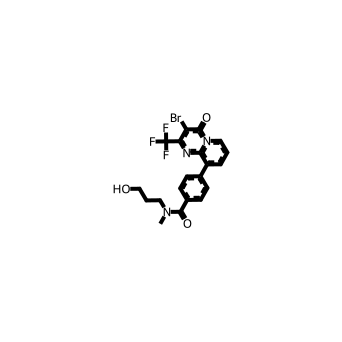 CN(CCCO)C(=O)c1ccc(-c2cccn3c(=O)c(Br)c(C(F)(F)F)nc23)cc1